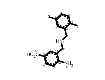 Cc1ccc(C)c(CNCc2cc(C(=O)O)ccc2N)c1